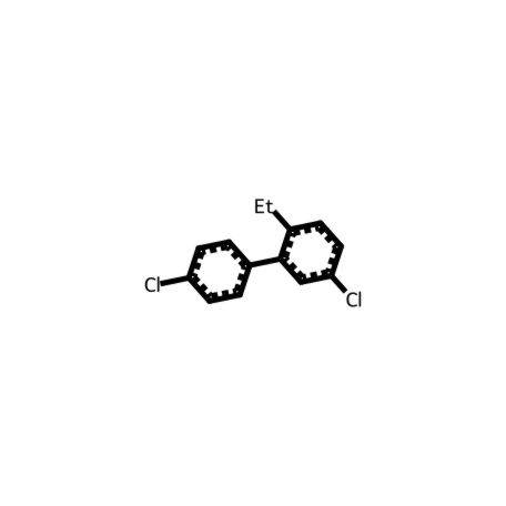 [CH2]Cc1ccc(Cl)cc1-c1ccc(Cl)cc1